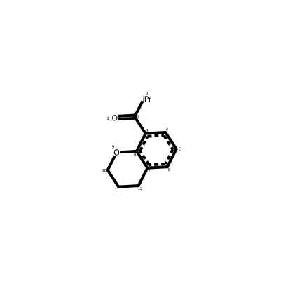 CC(C)C(=O)c1cccc2c1OCCC2